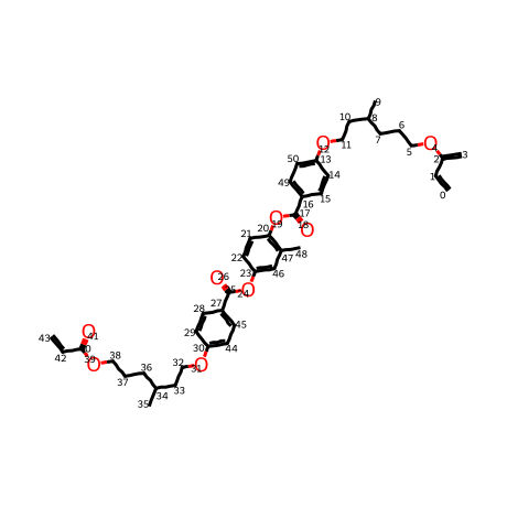 C=CC(=C)OCCCC(C)CCOc1ccc(C(=O)Oc2ccc(OC(=O)c3ccc(OCCC(C)CCCOC(=O)C=C)cc3)cc2C)cc1